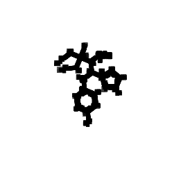 CC(=O)OC(C(Oc1ccc(F)cc1)n1ccnc1)C(C)(CF)CF